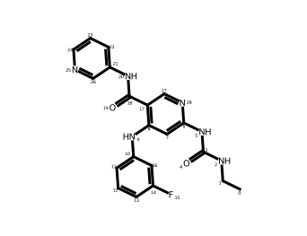 CCNC(=O)Nc1cc(Nc2cccc(F)c2)c(C(=O)Nc2cccnc2)cn1